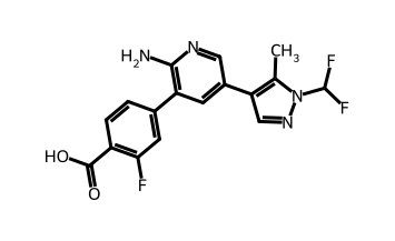 Cc1c(-c2cnc(N)c(-c3ccc(C(=O)O)c(F)c3)c2)cnn1C(F)F